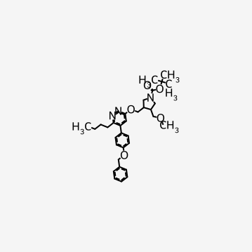 CCCCc1nnc(OCC2CN(C(=O)OC(C)(C)C)CC2COC)cc1-c1ccc(OCc2ccccc2)cc1